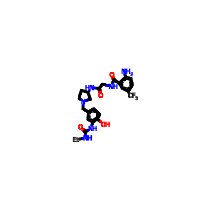 CCNC(=O)Nc1cc(CN2CC[C@@H](NC(=O)CNC(=O)c3cc(C(F)(F)F)ccc3N)C2)ccc1O